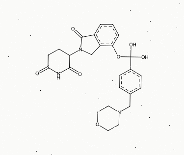 O=C1CCC(N2Cc3c(OC(O)(O)c4ccc(CN5CCOCC5)cc4)cccc3C2=O)C(=O)N1